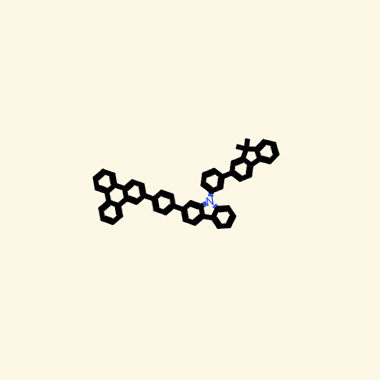 CC1(C)c2ccccc2-c2ccc(-c3cccc(-n4c5ccccc5c5ccc(-c6ccc(-c7ccc8c9ccccc9c9ccccc9c8c7)cc6)cc54)c3)cc21